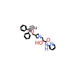 CC(C)(C)[Si](OCC1CN(C[C@H](O)C(=O)Nc2ccccn2)C1)(c1ccccc1)c1ccccc1